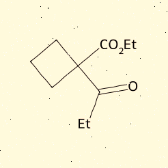 CCOC(=O)C1(C(=O)CC)CCC1